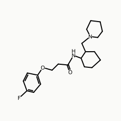 O=C(CCOc1ccc(F)cc1)NC1CCCCC1CN1CCCCC1